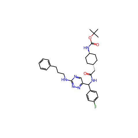 CC(C)(C)OC(=O)N[C@H]1CC[C@H](CC(=O)NC(c2ccc(F)cc2)c2cnc(NCCCc3ccccc3)nn2)CC1